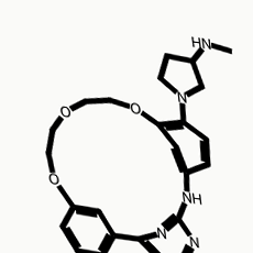 CNC1CCN(c2ccc3cc2OCCOCCOc2cccc(c2)-c2ccnc(n2)N3)C1